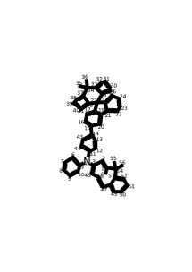 C\C1=C/C(N(c2ccccc2)c2ccc(-c3ccc4c(c3)-c3ccccc3C43c4ccccc4C(C)(C)c4ccccc43)cc2)=C\C=C\c2ccccc2C1(C)C